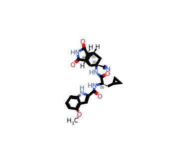 COc1cccc2[nH]c(C(=O)N[C@@H](CC3CC3)C(=O)N[C@@]3(C#N)C[C@@H]4CCC3[C@H]3C(=O)NC(=O)[C@@H]43)cc12